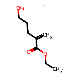 [CH2]COC(=O)C(=C)CCCO